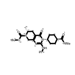 CNC(=O)[C@H]1CC[C@H](n2c(NC(C)C)nc3c(c2=O)C[C@@H](C)N(C(=O)OC(C)(C)C)C3)CC1